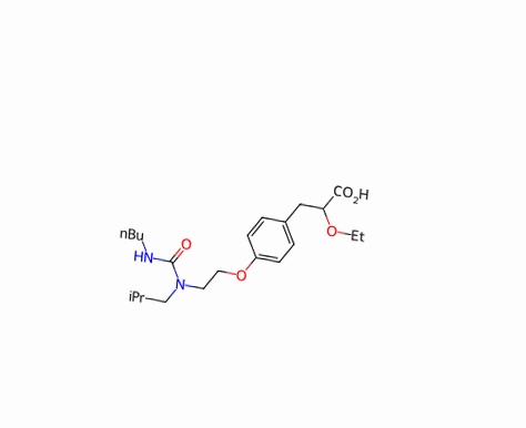 CCCCNC(=O)N(CCOc1ccc(CC(OCC)C(=O)O)cc1)CC(C)C